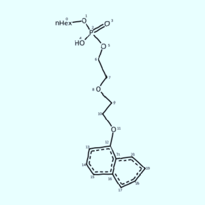 CCCCCCOP(=O)(O)OCCOCCOc1cccc2ccccc12